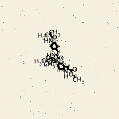 CCOC(=O)c1cc2cc(NC(=O)[C@H](Cc3ccc(NC(=O)C(C)C)cc3)NC(=O)OC(C)(C)C)ccc2[nH]1